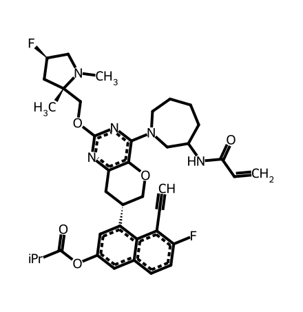 C#Cc1c(F)ccc2cc(OC(=O)C(C)C)cc([C@H]3COc4c(nc(OC[C@]5(C)C[C@@H](F)CN5C)nc4N4CCCCC(NC(=O)C=C)C4)C3)c12